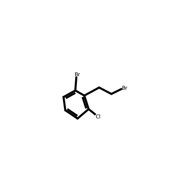 Clc1cccc(Br)c1CCBr